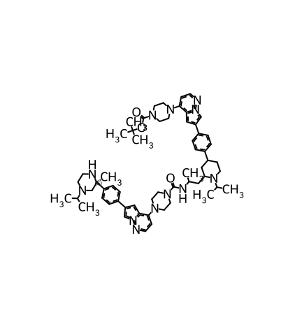 CC(CC1CC(c2ccc(-c3cc4c(N5CCN(C(=O)OC(C)(C)C)CC5)ccnn4c3)cc2)CCN1C(C)C)NC(=O)N1CCN(c2ccnn3cc(-c4ccc([C@@]5(C)CN(C(C)C)CCN5)cc4)cc23)CC1